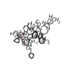 CC[C@]1(O)C[C@@H]2CN(CCc3c([nH]c4ccccc34)[C@@](C(=O)OC)(c3cc4c(cc3OC)N(C)C3[C@]45CCN4CC=C[C@@](CC)([C@@H](O[Si](C)(CCCCC(=O)OCc6ccccc6)c6ccccc6)[C@]3(O)C(=O)OC)[C@H]45)C2)C1